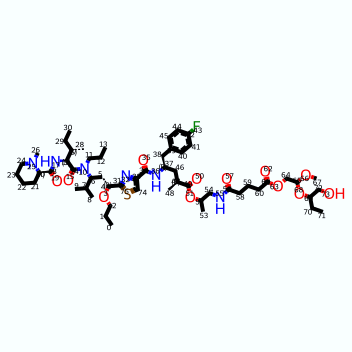 CCCO[C@H](CC(C(C)C)N(CCC)C(=O)[C@@H](NC(=O)[C@H]1CCCCN1C)[C@@H](C)CC)c1nc(C(=O)N[C@@H](Cc2ccc(F)cc2)C[C@H](C)C(=O)OC(C)CNC(=O)CCCC(=O)OCC(OC)OC(CC)CO)cs1